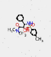 Cc1ccc(S(=O)(=O)N[C@@H](c2ccccc2)[C@@H](O)C(=O)N(C)C)cc1